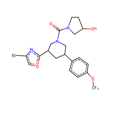 CCc1coc(C2CC(c3ccc(OC(F)(F)F)cc3)CN(C(=O)N3CCC(O)C3)C2)n1